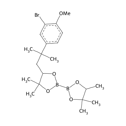 COc1ccc(C(C)(C)CC2OB(B3OC(C)C(C)(C)O3)OC2(C)C)cc1Br